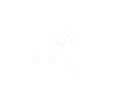 Cc1cc2c3c(c1)N(c1cccc4c1sc1ccccc14)c1cc4c(cc1B3c1sc3ccc(C(C)(C)C)cc3c1N2c1ccc2c(c1)C(C)(C)CCC2(C)C)C(C)(C)c1cc2c(cc1C4(C)C)C(C)(C)CCC2(C)C